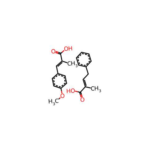 C/C(=C\Cc1ccccc1)C(=O)O.COc1ccc(/C=C(\C)C(=O)O)cc1